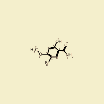 COc1cc(O)c(C(N)=O)cc1Br